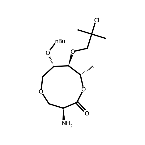 CCCCO[C@H]1COC[C@H](N)C(=O)O[C@@H](C)[C@@H]1OCC(C)(C)Cl